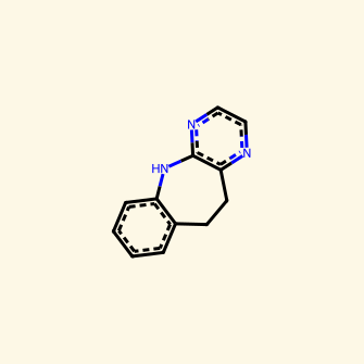 c1ccc2c(c1)CCc1nccnc1N2